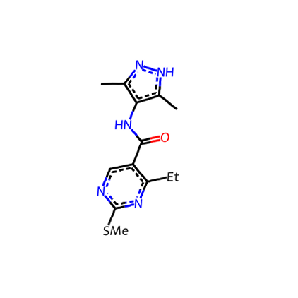 CCc1nc(SC)ncc1C(=O)Nc1c(C)n[nH]c1C